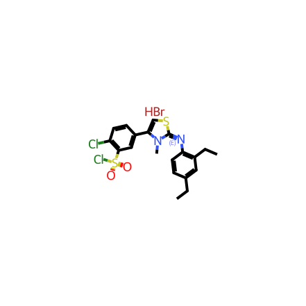 Br.CCc1ccc(/N=c2/scc(-c3ccc(Cl)c(S(=O)(=O)Cl)c3)n2C)c(CC)c1